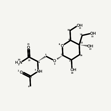 CC(=O)N[C@@H](CO[C@@H]1OC(CO)[C@@](O)(CO)CC1O)C(N)=O